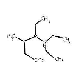 CCC(C)N(CC)[SiH](CC)CC